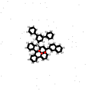 c1ccc(-c2cc(-c3ccccc3)cc(N(c3cccc(-c4ccc5ccccc5c4)c3)c3ccccc3-c3cc4ccccc4c4ccccc34)c2)cc1